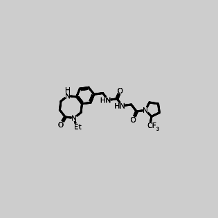 CCN1Cc2cc(CNC(=O)NCC(=O)N3CCCC3C(F)(F)F)ccc2NCCC1=O